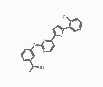 CC(O)c1cccc(Nc2nccc(-c3ccc(-c4ccccc4Cl)s3)n2)c1